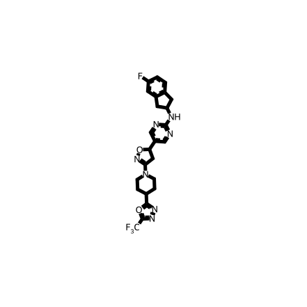 Fc1ccc2c(c1)CC(Nc1ncc(C3CC(N4CCC(c5nnc(C(F)(F)F)o5)CC4)=NO3)cn1)C2